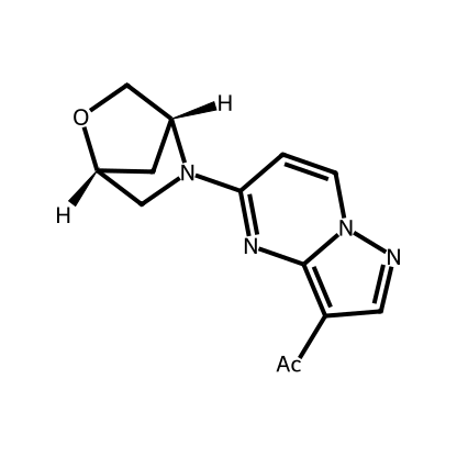 CC(=O)c1cnn2ccc(N3C[C@H]4C[C@@H]3CO4)nc12